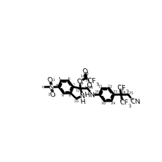 CS(=O)(=O)c1ccc2c(c1)CNC2(OC(=O)C(F)(F)F)C(=O)Nc1ccc(C(CC#N)(C(F)(F)F)C(F)(F)F)cc1